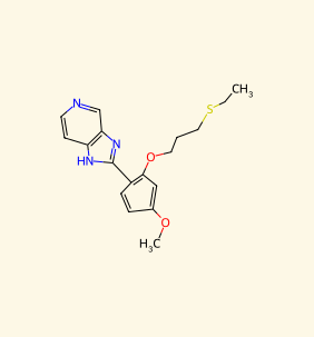 CCSCCCOc1cc(OC)ccc1-c1nc2cnccc2[nH]1